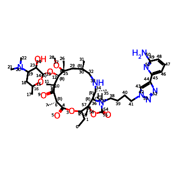 CC[C@H]1OC(=O)[C@H](C)C(=O)[C@@H](C)[C@@H](O[C@@H]2OC(C)CC(N(C)C)C2O)[C@](C)(OC)C[C@@H](C)CN[C@H](C)[C@H]2N(CCCCn3cc(-c4cccc(N)n4)nn3)C(=O)O[C@]12C